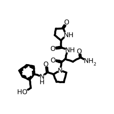 NC(=O)CC(NC(=O)C1CCC(=O)N1)C(=O)N1CCCC1C(=O)Nc1ccccc1CO